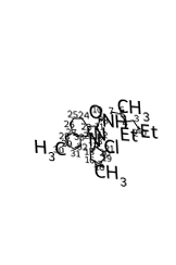 CCC(CC)CCC(C)CNC(=O)c1nn(C2=CCC(C)C=C2Cl)c2c1CCCc1cc(C)ccc1-2